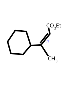 CCOC(=O)/C=C(/C)C1CCCCC1